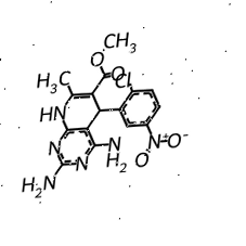 COC(=O)C1=C(C)Nc2nc(N)nc(N)c2C1c1cc([N+](=O)[O-])ccc1Cl